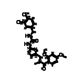 COc1ccc(C(=O)N(C)Cc2csc(NC(=O)NCc3ccc(Cl)c(Cl)c3)n2)c(OC)c1